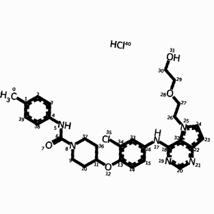 Cc1ccc(NC(=O)N2CCC(Oc3ccc(Nc4ncnc5ccn(CCOCCO)c45)cc3Cl)CC2)cc1.Cl